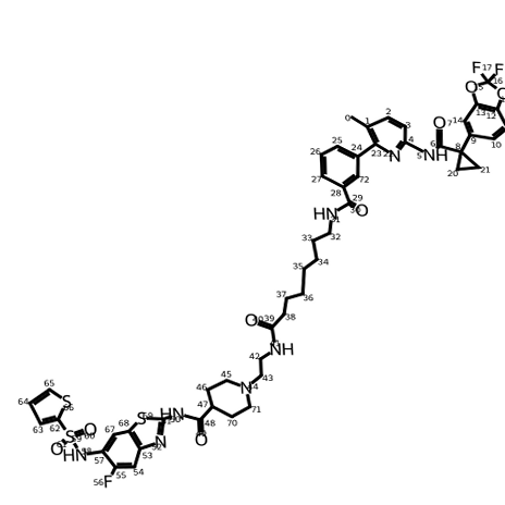 Cc1ccc(NC(=O)C2(c3ccc4c(c3)OC(F)(F)O4)CC2)nc1-c1cccc(C(=O)NCCCCCCCC(=O)NCCN2CCC(C(=O)Nc3nc4cc(F)c(NS(=O)(=O)c5cccs5)cc4s3)CC2)c1